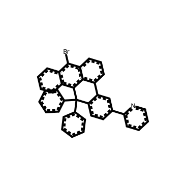 Brc1c2ccccc2c2c3c(cccc13)-c1cc(-c3ccccn3)ccc1C2(c1ccccc1)c1ccccc1